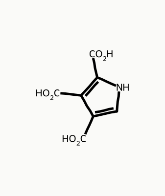 O=C(O)c1c[nH]c(C(=O)O)c1C(=O)O